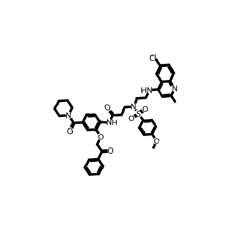 COc1ccc(S(=O)(=O)N(CCNc2cc(C)nc3ccc(Cl)cc23)CCC(=O)Nc2ccc(C(=O)N3CCCCC3)cc2OCC(=O)c2ccccc2)cc1